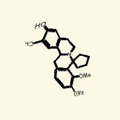 COc1ccc2c(c1OC)C1(CCCC1)N1CCc3cc(O)c(O)cc3C1C2